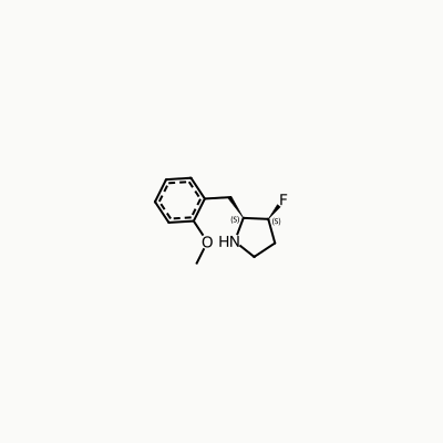 COc1ccccc1C[C@@H]1NCC[C@@H]1F